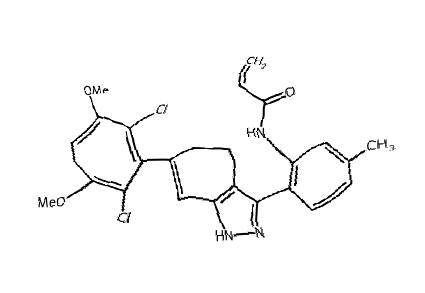 C=CC(=O)Nc1cc(C)ccc1-c1n[nH]c2c1CCC(c1c(Cl)c(OC)cc(OC)c1Cl)=C2